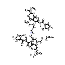 CCn1nc(C)cc1C(=O)Nc1nc2cc(C(N)=O)cc3c2n1C(C/C=C/C[C@H]1CN(CCCOC)c2cc(C(N)=O)cc4nc(NC(=O)c5cc(C)nn5CC)n1c24)CN3C